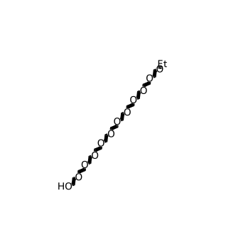 CCOCCOCCOCCOCCOCCOCCOCCOCCOCCOCCOCCO